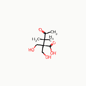 CC(=O)C(C)(C)C(CO)(CO)C(=O)O